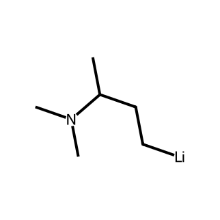 [Li][CH2]CC(C)N(C)C